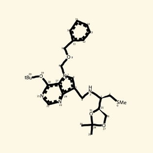 CSC[C@H](NCc1cn(COCc2ccccc2)c2c(OC(C)(C)C)ncnc12)[C@H]1COC(C)(C)O1